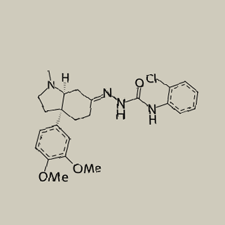 COc1ccc([C@@]23CC/C(=N\NC(=O)Nc4ccccc4Cl)C[C@@H]2N(C)CC3)cc1OC